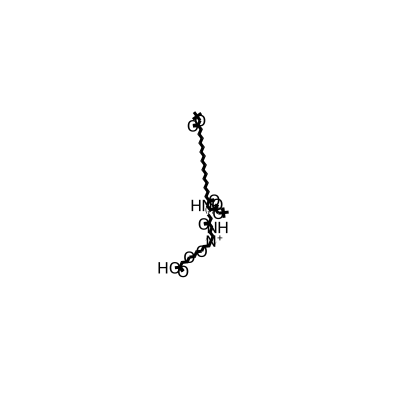 CC(C)(C)OC(=O)CCCCCCCCCCCCCCCCC(=O)N[C@@H](CCC(=O)NCC[N+](C)(C)CCOCCOCCC(=O)O)C(=O)OC(C)(C)C